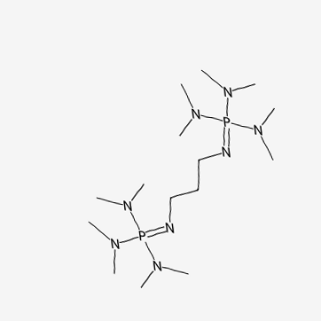 CN(C)P(=NCCCN=P(N(C)C)(N(C)C)N(C)C)(N(C)C)N(C)C